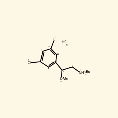 COC(CNC(C)(C)C)c1cc(Cl)cc(Cl)c1.Cl